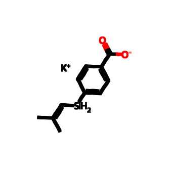 CC(C)=C[SiH2]c1ccc(C(=O)[O-])cc1.[K+]